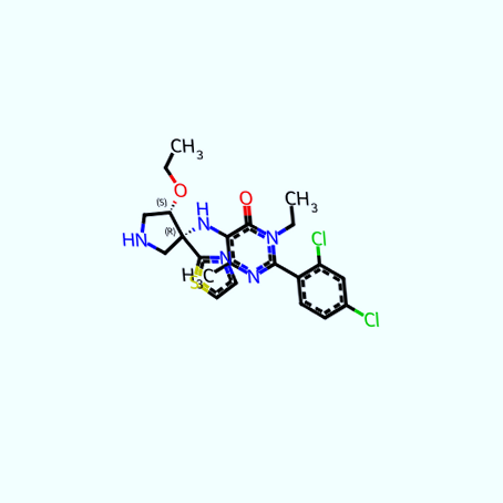 CCO[C@H]1CNC[C@]1(Nc1c(C)nc(-c2ccc(Cl)cc2Cl)n(CC)c1=O)c1nccs1